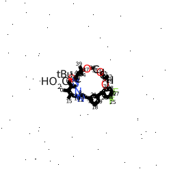 Cc1c([C@H](OC(C)(C)C)C(=O)O)c2n3c(C)c(nc3c1C)-c1cccc(c1)-c1cc(F)c(F)cc1O[C@@H](C)COCCOC1(C)CCN2CC1